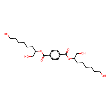 O=C(OC(CO)CCCCCCO)c1ccc(C(=O)OC(CO)CCCCCCO)cc1